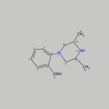 COc1ccccc1N1CC(C)NC(C)C1